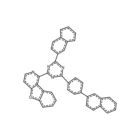 c1ccc2cc(-c3ccc(-c4nc(-c5ccc6ccccc6c5)nc(-c5nccc6oc7ccccc7c56)n4)cc3)ccc2c1